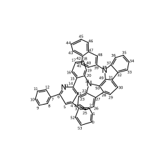 c1ccc(-c2cc(-c3ccccc3)nc(-c3ccccc3-n3c4ccccc4c4ccc5c6ccccc6n(-c6ccc7ccccc7c6)c5c43)c2)cc1